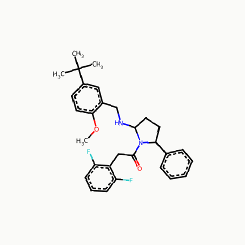 COc1ccc(C(C)(C)C)cc1CNC1CCC(c2ccccc2)N1C(=O)Cc1c(F)cccc1F